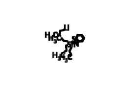 CCC[CH2][Sn]([CH2]CCC)([CH2]CCC)[c]1nc2ccccc2s1.[Li][CH2]CCC